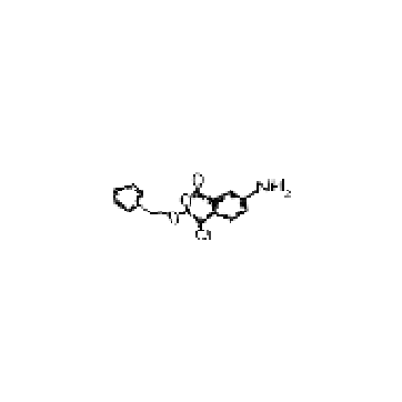 Nc1ccc2c(Cl)c(OCCc3ccccc3)oc(=O)c2c1